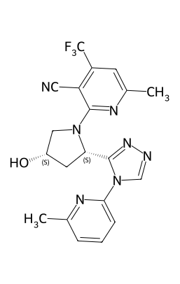 Cc1cccc(-n2cnnc2[C@@H]2C[C@H](O)CN2c2nc(C)cc(C(F)(F)F)c2C#N)n1